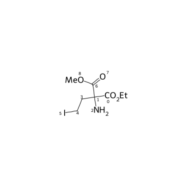 CCOC(=O)C(N)(CCI)C(=O)OC